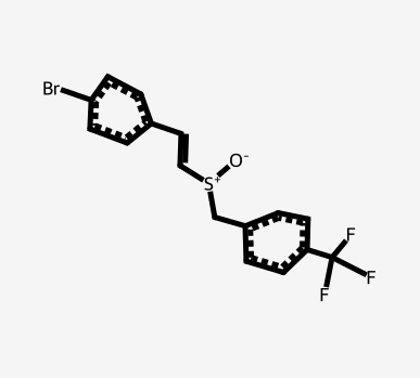 [O-][S+](C=Cc1ccc(Br)cc1)Cc1ccc(C(F)(F)F)cc1